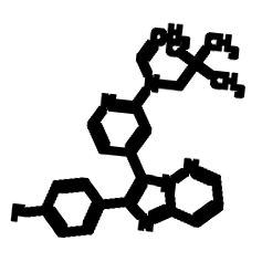 CC(C)(C)CN(C=O)c1cc(-c2c(-c3ccc(F)cc3)nc3cccnn23)ccn1